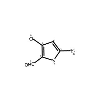 CCc1cc(Cl)c(C=O)s1